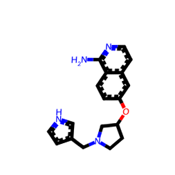 Nc1nccc2cc(OC3CCN(Cc4cc[nH]c4)C3)ccc12